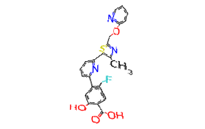 Cc1nc(COc2ccccn2)sc1-c1cccc(-c2cc(O)c(C(=O)O)cc2F)n1